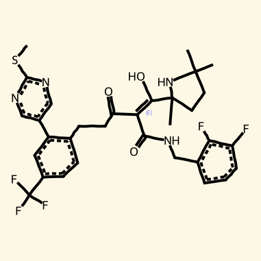 CSc1ncc(-c2cc(C(F)(F)F)ccc2CCC(=O)/C(C(=O)NCc2cccc(F)c2F)=C(\O)C2(C)CCC(C)(C)N2)cn1